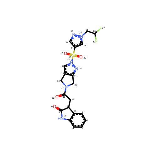 O=C1Nc2ccccc2C1CC(=O)N1Cc2cn(S(=O)(=O)c3cnn(CC(F)F)c3)nc2C1